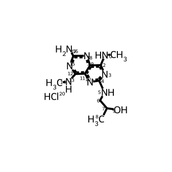 CNc1nc(NCC(C)O)nc2c(NC)nc(N)nc12.Cl